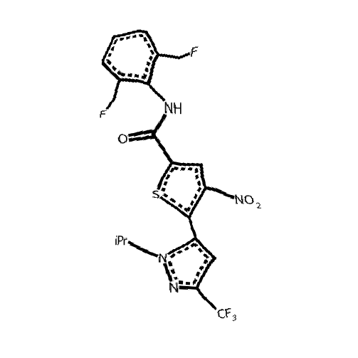 CC(C)n1nc(C(F)(F)F)cc1-c1sc(C(=O)Nc2c(F)cccc2F)cc1[N+](=O)[O-]